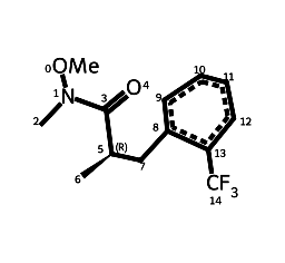 CON(C)C(=O)[C@H](C)Cc1ccccc1C(F)(F)F